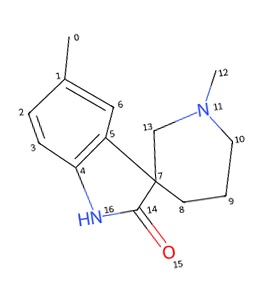 Cc1ccc2c(c1)C1(CCCN(C)C1)C(=O)N2